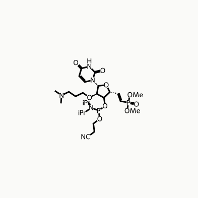 COP(=O)(/C=C/[C@H]1O[C@@H](n2ccc(=O)[nH]c2=O)[C@H](OCCCN(C)C)C1OP(OCCC#N)N(C(C)C)C(C)C)OC